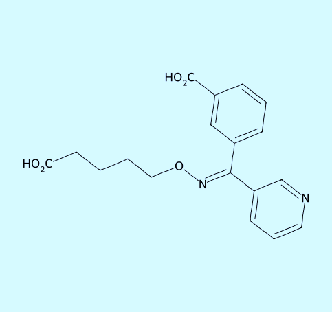 O=C(O)CCCCON=C(c1cccnc1)c1cccc(C(=O)O)c1